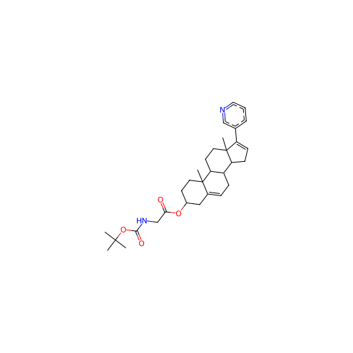 CC(C)(C)OC(=O)NCC(=O)OC1CCC2(C)C(=CCC3C2CCC2(C)C(c4cccnc4)=CCC32)C1